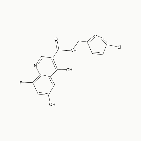 O=C(NCc1ccc(Cl)cc1)c1cnc2c(F)cc(O)cc2c1O